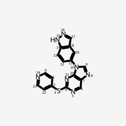 c1cc(Sc2ncc3ncn(-c4ccc5[nH]ncc5c4)c3n2)ccn1